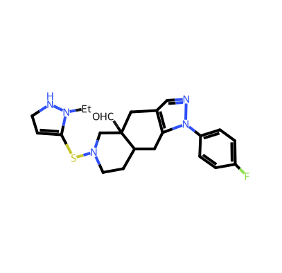 CCN1NCC=C1SN1CCC2Cc3c(cnn3-c3ccc(F)cc3)CC2(C=O)C1